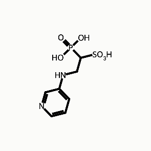 O=P(O)(O)C(CNc1cccnc1)S(=O)(=O)O